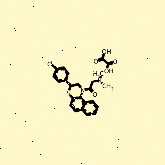 CN(C)CC(=O)N1CC(c2ccc(Cl)cc2)Sc2ccc3ccccc3c21.O=C(O)C(=O)O